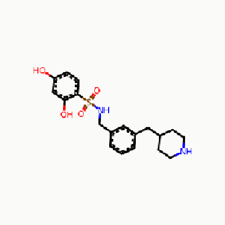 O=S(=O)(NCc1cccc(CC2CCNCC2)c1)c1ccc(O)cc1O